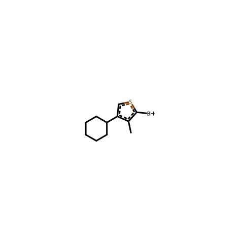 [BH]c1scc(C2CCCCC2)c1C